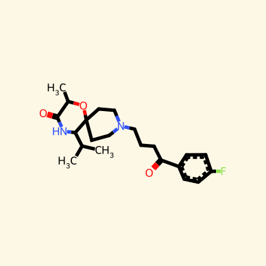 CC1OC2(CCN(CCCC(=O)c3ccc(F)cc3)CC2)C(C(C)C)NC1=O